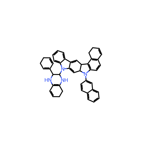 C1=CC(C2NC3=C(CCC=C3)NC2n2c3c(c4ccccc42)=CC2c4c(ccc5c4CCC=C5)N(c4ccc5ccccc5c4)C2C=3)=CCC1